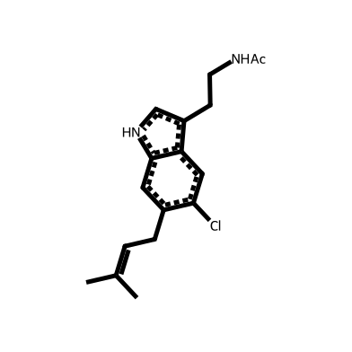 CC(=O)NCCc1c[nH]c2cc(CC=C(C)C)c(Cl)cc12